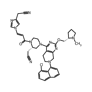 CN1CCC[C@H]1COc1nc2c(c(N3CCN(C(=O)/C=C/n4cnc(CC#N)c4)[C@@H](CC#N)C3)n1)CCN(c1cccc3cccc(Cl)c13)C2